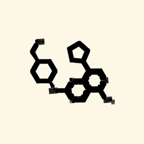 Nc1ncc(C2CCCC2)c2nc(N[C@H]3CC[C@H](CO)CC3)ncc12